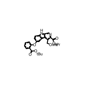 COCc1c(C(=O)OC(C)C)ncc2[nH]c3ccc(Oc4ccccc4C(=O)OC(C)(C)C)cc3c12